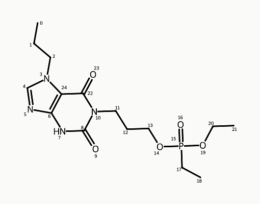 CCCn1cnc2[nH]c(=O)n(CCCOP(=O)(CC)OCC)c(=O)c21